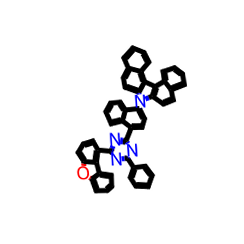 c1ccc(-c2nc(-c3ccc(-n4c5ccc6ccccc6c5c5c6ccccc6ccc54)c4ccccc34)nc(-c3cccc4oc5ccccc5c34)n2)cc1